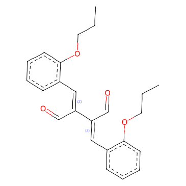 CCCOc1ccccc1/C=C(C=O)/C(C=O)=C/c1ccccc1OCCC